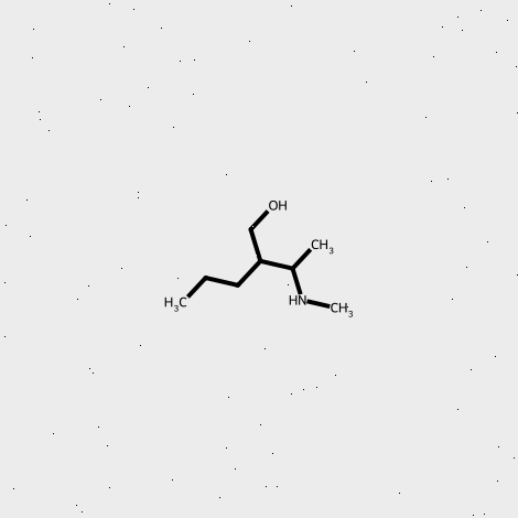 CCCC(CO)C(C)NC